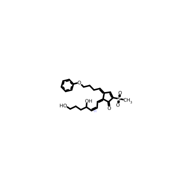 CS(=O)(=O)C1=CC(=CCCCOc2ccccc2)C(=C/C=C\C(O)CCCO)C1=O